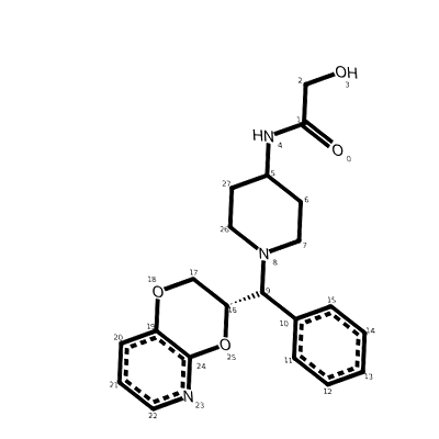 O=C(CO)NC1CCN(C(c2ccccc2)[C@H]2COc3cccnc3O2)CC1